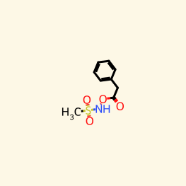 CS(=O)(=O)NOC(=O)Cc1ccccc1